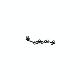 C=CC(=O)OCCCCOc1ccc(-c2ccc(OC(=O)c3ccc(OCCCCCCC4CC(=C)C(=O)O4)cc3)cc2)cc1